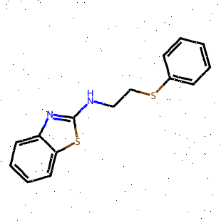 c1ccc(SCCNc2nc3ccccc3s2)cc1